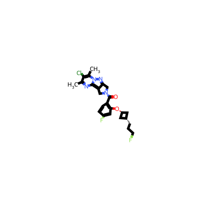 Cc1nc2c3c(nn2c(C)c1Cl)CN(C(=O)c1ccc(F)cc1O[C@H]1C[C@@H](CCCF)C1)C3